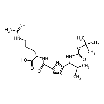 CC(C)C(NC(=O)OC(C)(C)C)c1nc(C(=O)N[C@@H](CCCNC(=N)N)C(=O)O)cs1